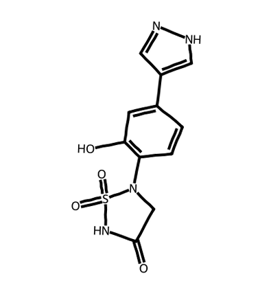 O=C1CN(c2ccc(-c3cn[nH]c3)cc2O)S(=O)(=O)N1